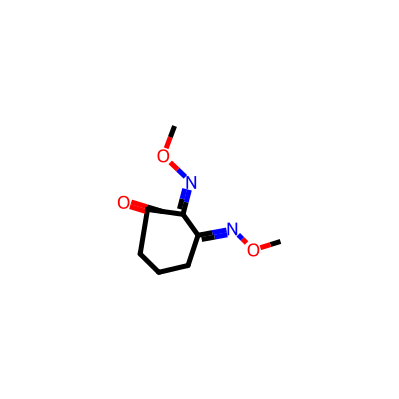 CON=C1CCCC(=O)C1=NOC